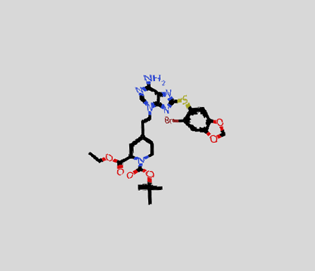 CCOC(=O)C1CC(CCn2cnc(N)c3nc(Sc4cc5c(cc4Br)OCO5)nc2-3)CCN1C(=O)OC(C)(C)C